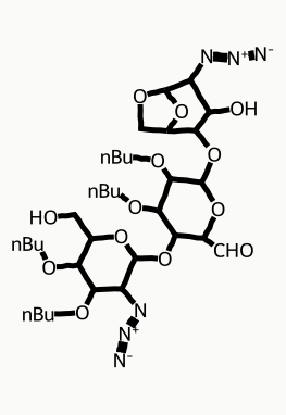 CCCCOC1C(CO)OC(OC2C(C=O)OC(OC3C4COC(O4)C(N=[N+]=[N-])C3O)C(OCCCC)C2OCCCC)C(N=[N+]=[N-])C1OCCCC